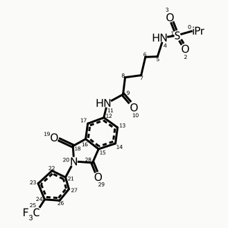 CC(C)S(=O)(=O)NCCCCC(=O)Nc1ccc2c(c1)C(=O)N(c1ccc(C(F)(F)F)cc1)C2=O